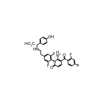 Nc1c(C(=O)c2ccc(F)cc2F)ccc(=O)n1-c1c(F)cc(CCN[C@H](C(=O)O)c2ccc(O)cc2)cc1F